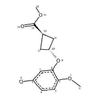 COc1ccc(Cl)cc1O[C@H]1C[C@H](C(=O)OC)C1